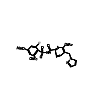 COc1cc(F)c(S(=O)(=O)NC(=O)c2ccc(Cn3cccn3)c(OC)n2)c(OC)c1